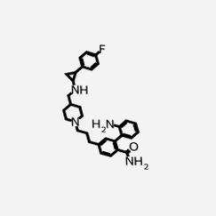 NC(=O)c1ccc(CCCN2CCC(CNC3CC3c3ccc(F)cc3)CC2)cc1-c1ccccc1N